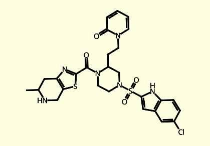 CC1Cc2nc(C(=O)N3CCN(S(=O)(=O)c4cc5cc(Cl)ccc5[nH]4)CC3CCn3ccccc3=O)sc2CN1